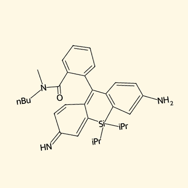 CCCCN(C)C(=O)c1ccccc1C1=C2C=CC(=N)C=C2[Si](C(C)C)(C(C)C)c2cc(N)ccc21